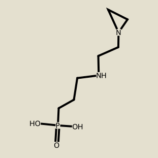 O=P(O)(O)CCCNCCN1CC1